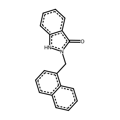 O=c1c2ccccc2[nH]n1Cc1cccc2ccccc12